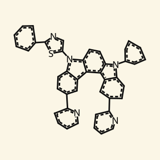 c1ccc(-c2ncc(-n3c4ccc(-c5ccccn5)cc4c4c5c6cc(-c7ccccn7)ccc6n(-c6ccccc6)c5ccc43)s2)cc1